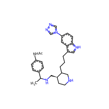 CC(=O)Nc1ccc(C(C)NC[C@@H]2CCNCC2CCCc2c[nH]c3ccc(-n4cnnc4)cc23)cc1